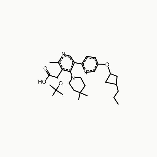 CCCC1CC(Oc2ccc(-c3cnc(C)c([C@H](OC(C)(C)C)C(=O)O)c3N3CCC(C)(C)CC3)nc2)C1